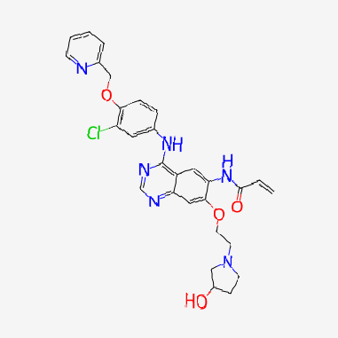 C=CC(=O)Nc1cc2c(Nc3ccc(OCc4ccccn4)c(Cl)c3)ncnc2cc1OCCN1CCC(O)C1